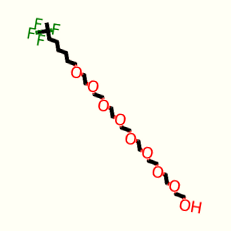 CC(F)(CCCCCCOCCOCCOCCOCCOCCOCCOCCOCCO)C(F)(F)F